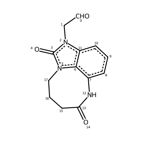 O=CCn1c(=O)n2c3c(cccc31)NC(=O)CCC2